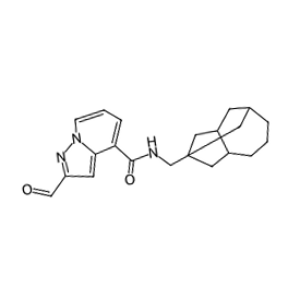 O=Cc1cc2c(C(=O)NCC34CC5CCCC(C3)C(C5)C4)cccn2n1